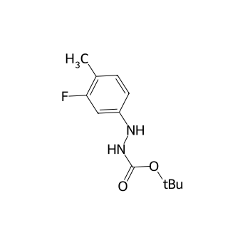 Cc1ccc(NNC(=O)OC(C)(C)C)cc1F